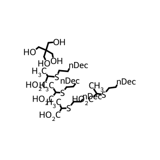 CCCCCCCCCCCCSC(C)C(=O)O.CCCCCCCCCCCCSC(C)C(=O)O.CCCCCCCCCCCCSC(C)C(=O)O.CCCCCCCCCCCCSC(C)C(=O)O.OCC(CO)(CO)CO